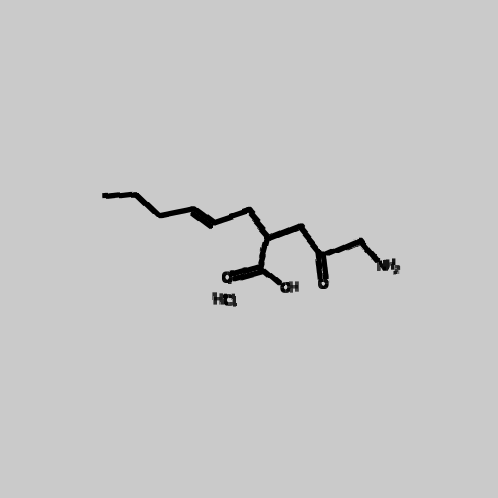 CCCC=CCC(CC(=O)CN)C(=O)O.Cl